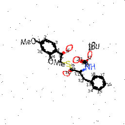 COc1ccc(C(=O)CSC(=O)C(Cc2ccccc2)NC(=O)OC(C)(C)C)c(OC)c1